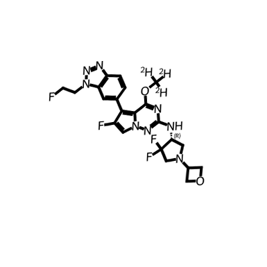 [2H]C([2H])([2H])Oc1nc(N[C@@H]2CN(C3COC3)CC2(F)F)nn2cc(F)c(-c3ccc4nnn(CCF)c4c3)c12